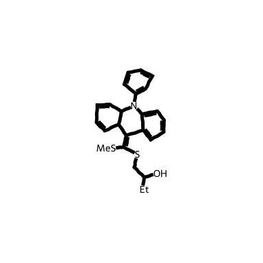 CCC(O)CS/C(SC)=C1\c2ccccc2N(c2ccccc2)C2C=CC=CC12